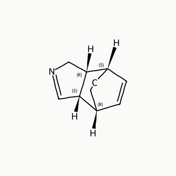 C1=C[C@H]2CC[C@@H]1[C@H]1CN=C[C@H]12